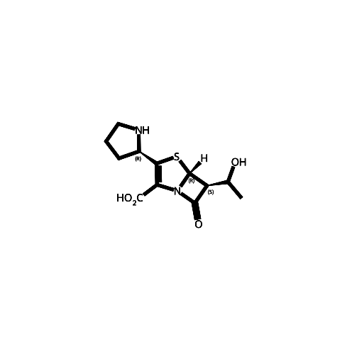 CC(O)[C@H]1C(=O)N2C(C(=O)O)=C([C@H]3CCCN3)S[C@H]12